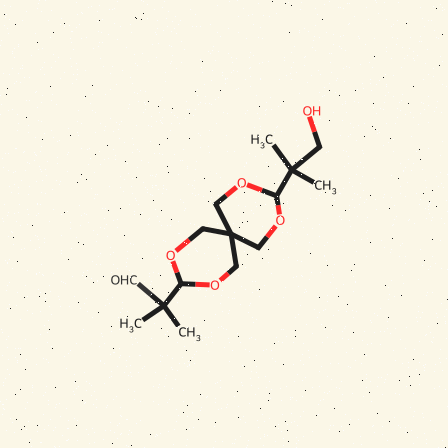 CC(C)(C=O)C1OCC2(CO1)COC(C(C)(C)CO)OC2